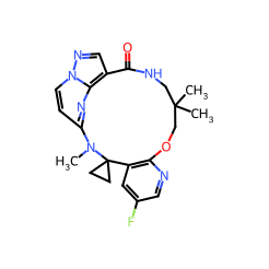 CN1c2ccn3ncc(c3n2)C(=O)NCC(C)(C)COc2ncc(F)cc2C12CC2